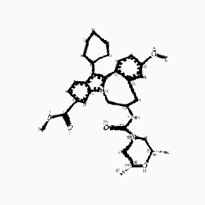 COC(=O)c1ccc2c(C3CCCCC3)c3n(c2c1)CC(NC(=O)N1C[C@@H](C)O[C@@H](C)C1)Cc1cc(OC)ccc1-3